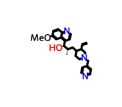 C=CC1CN(Cc2ccncc2)CCC1C[C@H](C)[C@H](O)c1ccnc2ccc(OC)cc12